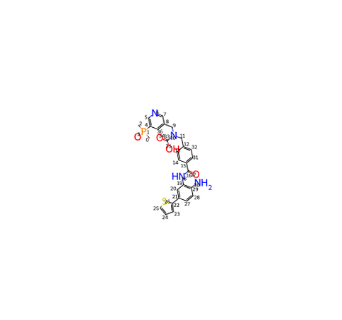 CP(C)(=O)c1cncc(CN(Cc2ccc(C(=O)Nc3cc(-c4cccs4)ccc3N)cc2)C(=O)O)c1